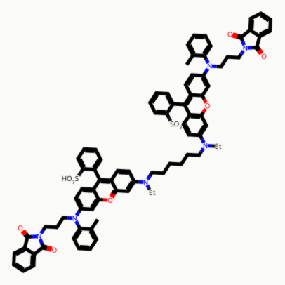 CCN(CCCCCCN(CC)c1ccc2c(-c3ccccc3S(=O)(=O)O)c3ccc(N(CCCN4C(=O)c5ccccc5C4=O)c4ccccc4C)cc3[o+]c2c1)c1ccc2c(c1)OC1C=C(N(CCCN3C(=O)c4ccccc4C3=O)c3ccccc3C)C=CC1=C2c1ccccc1S(=O)(=O)O